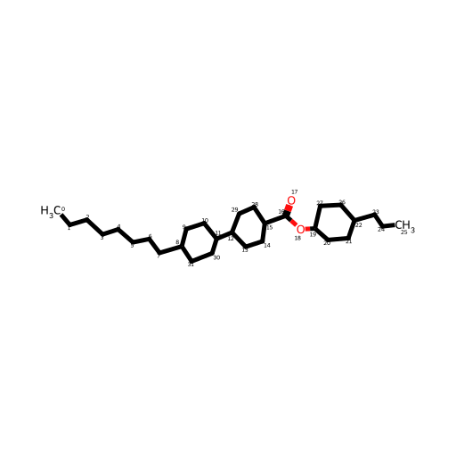 CCCCCCCCC1CCC(C2CCC(C(=O)OC3CCC(CCC)CC3)CC2)CC1